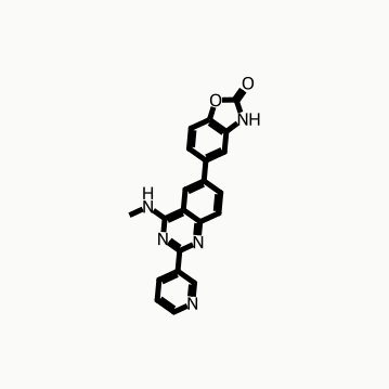 CNc1nc(-c2cccnc2)nc2ccc(-c3ccc4oc(=O)[nH]c4c3)cc12